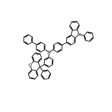 c1ccc(-c2ccc(N(c3ccc(-c4ccc5c(c4)c4ccccc4n5-c4ccccc4)cc3)c3cccc(C4(c5ccccc5)c5ccccc5Oc5ccccc54)c3)cc2)cc1